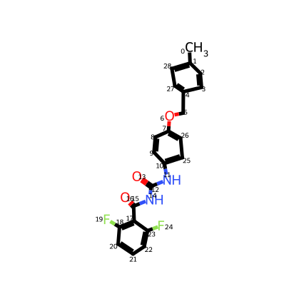 Cc1ccc(COc2ccc(NC(=O)NC(=O)c3c(F)cccc3F)cc2)cc1